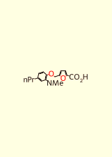 CCCc1ccc(OCc2ccc(C(=O)O)o2)c(NC)c1